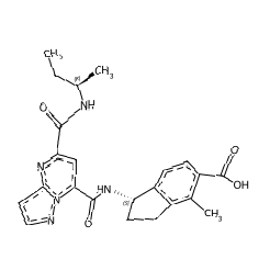 CC[C@@H](C)NC(=O)c1cc(C(=O)N[C@H]2CCc3c2ccc(C(=O)O)c3C)n2nccc2n1